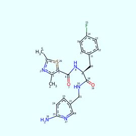 Cc1nc(C)c(C(=O)N[C@@H](Cc2ccc(F)cc2)C(=O)NCc2ccc(N)nc2)s1